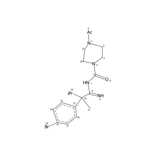 CC(=O)N1CCN(C(=O)NC(=N)C(C)(c2ccc(Br)cc2)C(C)C)CC1